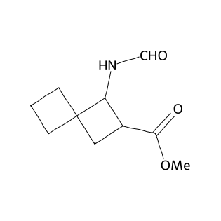 COC(=O)C1CC2(CCC2)C1NC=O